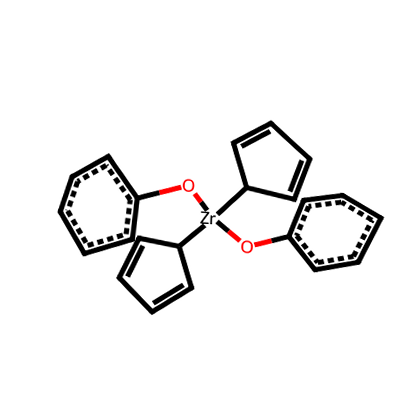 C1=C[CH]([Zr]([O]c2ccccc2)([O]c2ccccc2)[CH]2C=CC=C2)C=C1